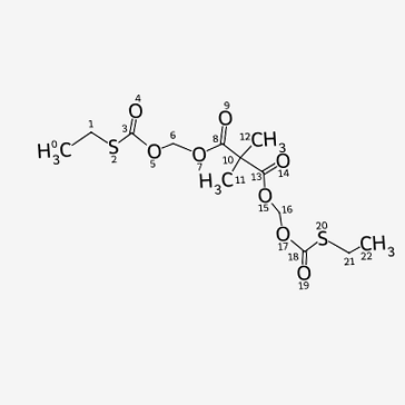 CCSC(=O)OCOC(=O)C(C)(C)C(=O)OCOC(=O)SCC